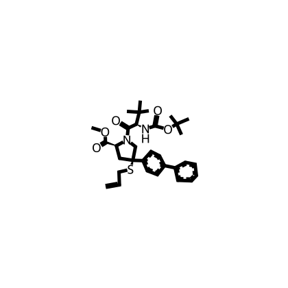 C=CCS[C@@]1(c2ccc(-c3ccccc3)cc2)C[C@@H](C(=O)OC)N(C(=O)[C@@H](NC(=O)OC(C)(C)C)C(C)(C)C)C1